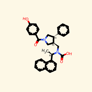 C[C@H](c1cccc2ccccc12)N(C[C@H]1CN(C(=O)c2ccc(O)cc2)C[C@@H]1c1ccccc1)C(=O)O